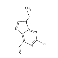 CCn1cnc2c(C=S)nc(Cl)nc21